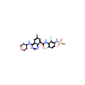 CCCS(=O)(=O)Nc1ccc(F)c(NC(=O)c2cc(C)cc3c(NC4CCOCC4)ncnc23)c1F